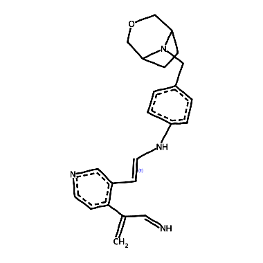 C=C(C=N)c1ccncc1/C=C/Nc1ccc(CN2C3CCC2COC3)cc1